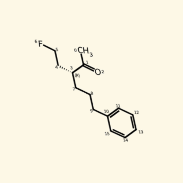 CC(=O)[C@@H](CCF)CCCc1ccccc1